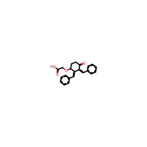 O=C(O)COC1CCC(=O)C(=Cc2ccccc2)C1=Cc1ccccc1